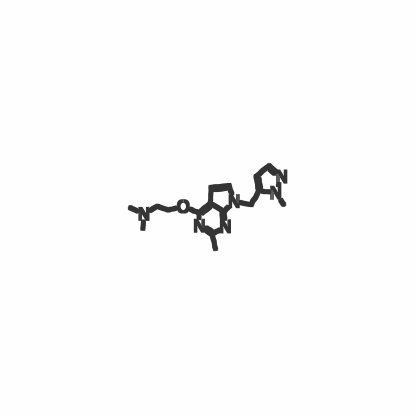 Cc1nc(OCCN(C)C)c2ccn(Cc3ccnn3C)c2n1